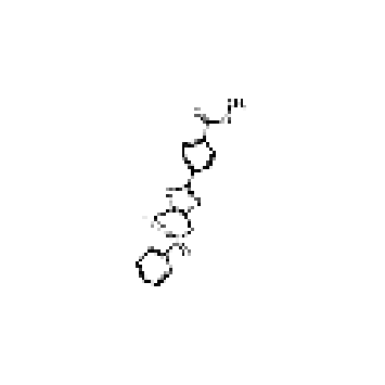 COC(=O)c1ccc(-c2nc(CS(=O)(=O)c3ccccc3)c(C)o2)cc1